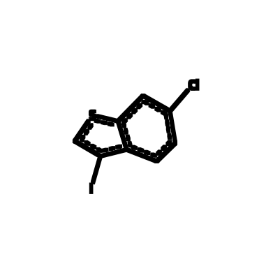 Clc1ccc2c(I)csc2c1